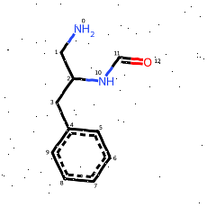 NCC(Cc1ccccc1)NC=O